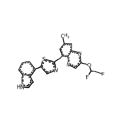 Cc1cc(-c2ncc(-c3cccc4[nH]ccc34)s2)c2ncc(OC(F)F)nc2c1